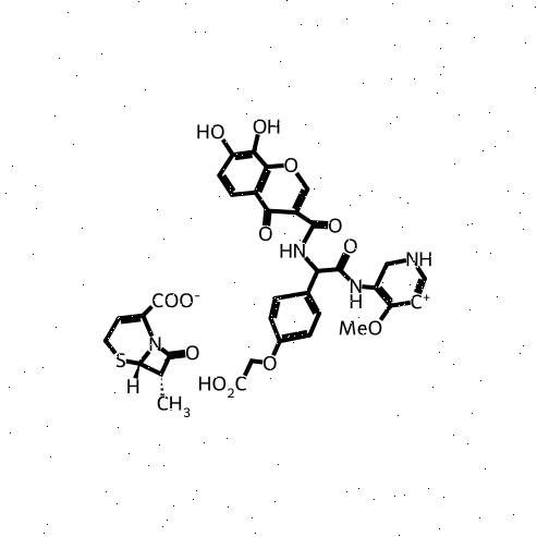 COC1=C(NC(=O)C(NC(=O)c2coc3c(O)c(O)ccc3c2=O)c2ccc(OCC(=O)O)cc2)CNC=[C+]1.C[C@H]1C(=O)N2C(C(=O)[O-])=CCS[C@@H]12